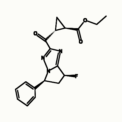 CCOC(=O)[C@@H]1C[C@H]1C(=O)c1nc2n(n1)[C@H](c1ccccc1)C[C@@H]2F